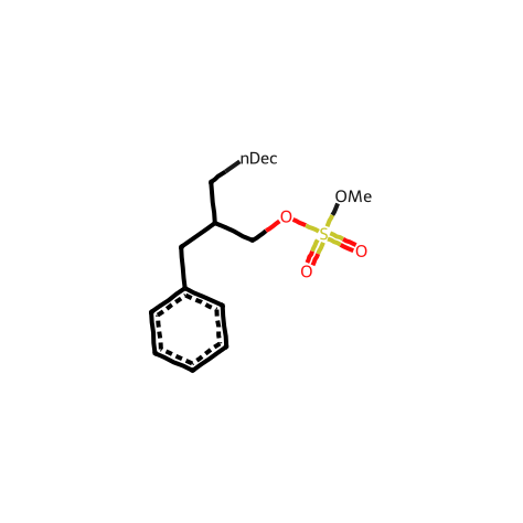 CCCCCCCCCCCC(COS(=O)(=O)OC)Cc1ccccc1